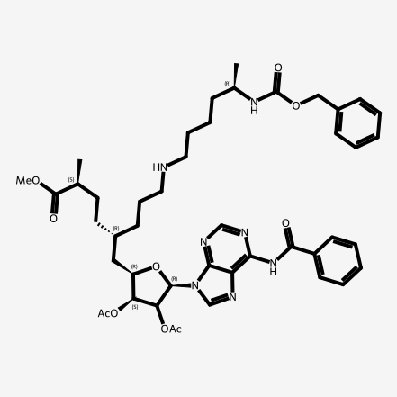 COC(=O)[C@@H](C)CC[C@H](CCCNCCCC[C@@H](C)NC(=O)OCc1ccccc1)C[C@H]1O[C@@H](n2cnc3c(NC(=O)c4ccccc4)ncnc32)C(OC(C)=O)[C@H]1OC(C)=O